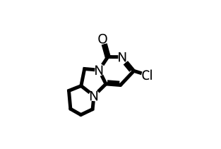 O=c1nc(Cl)cc2n1CC1CCCCN21